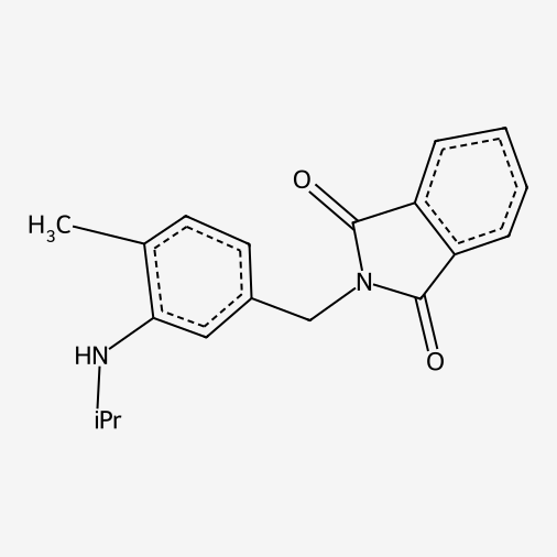 Cc1ccc(CN2C(=O)c3ccccc3C2=O)cc1NC(C)C